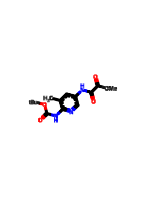 COC(=O)C(=O)Nc1cnc(NC(=O)OC(C)(C)C)c(C)c1